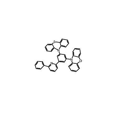 c1ccc(-c2cccc(-c3cc(N4c5ccccc5Oc5ccccc54)cc(N4c5ccccc5Sc5ccccc54)c3)n2)cc1